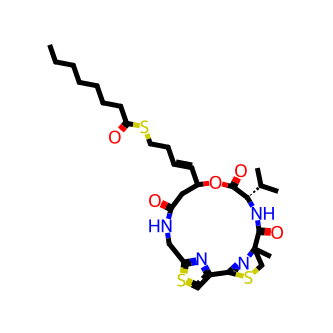 CCCCCCCC(=O)SCC/C=C/C1CC(=O)NCc2nc(cs2)C2=NC(C)(CS2)C(=O)N[C@@H](C(C)C)C(=O)O1